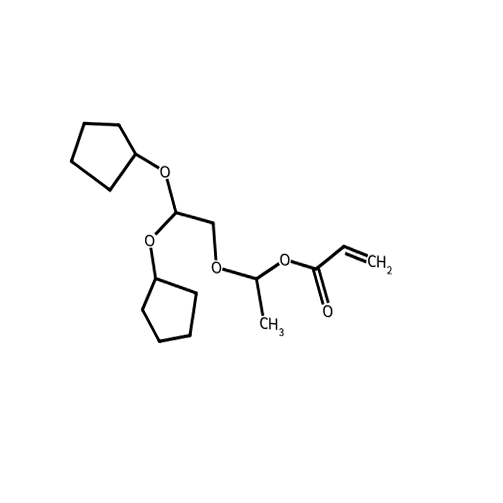 C=CC(=O)OC(C)OCC(OC1CCCC1)OC1CCCC1